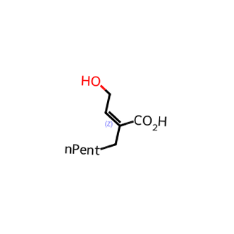 CCCCCC/C(=C/CO)C(=O)O